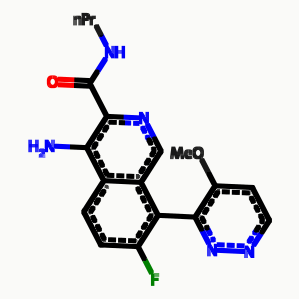 CCCNC(=O)c1ncc2c(-c3nnccc3OC)c(F)ccc2c1N